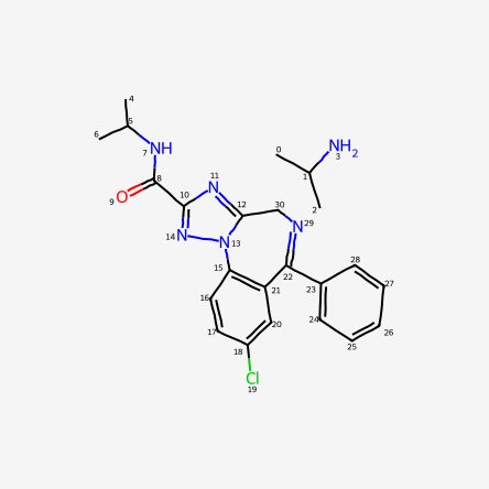 CC(C)N.CC(C)NC(=O)c1nc2n(n1)-c1ccc(Cl)cc1C(c1ccccc1)=NC2